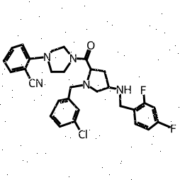 N#Cc1ccccc1N1CCN(C(=O)C2CC(NCc3ccc(F)cc3F)CN2Cc2cccc(Cl)c2)CC1